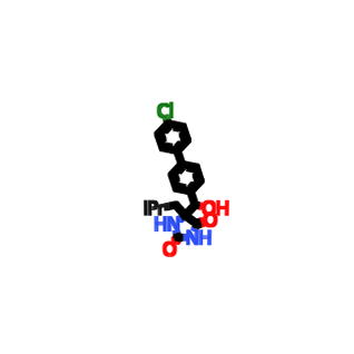 CC(C)CC1(C(O)c2ccc(-c3ccc(Cl)cc3)cc2)NC(=O)NC1=O